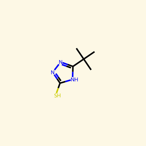 CC(C)(C)c1nnc(S)[nH]1